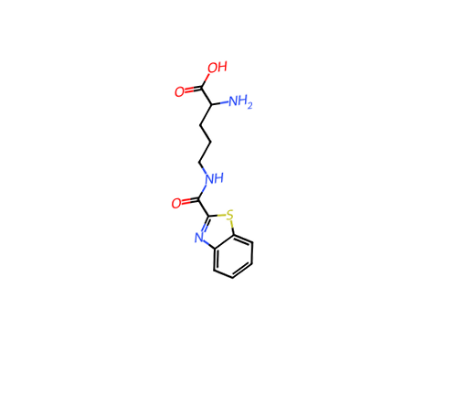 NC(CCCNC(=O)c1nc2ccccc2s1)C(=O)O